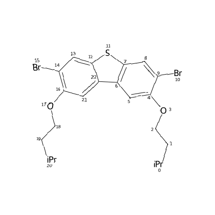 CC(C)CCOc1cc2c(cc1Br)sc1cc(Br)c(OCCC(C)C)cc12